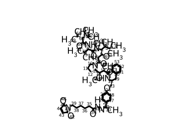 CC[C@H](C)[C@@H](C(CC(=O)N1CCC[C@H]1[C@H](OC)[C@@H](C)C(=O)N[C@H](COc1ccc(/C(C)=N\NC(=O)CCCCCN2C(=O)C=CC2=O)cc1)Cc1ccccc1)OC)N(C)C(=O)[C@@H](NC(=O)[C@H](C(C)C)N(C)C)C(C)C